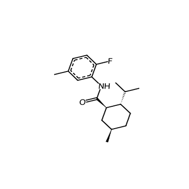 Cc1ccc(F)c(NC(=O)[C@@H]2C[C@H](C)CC[C@H]2C(C)C)c1